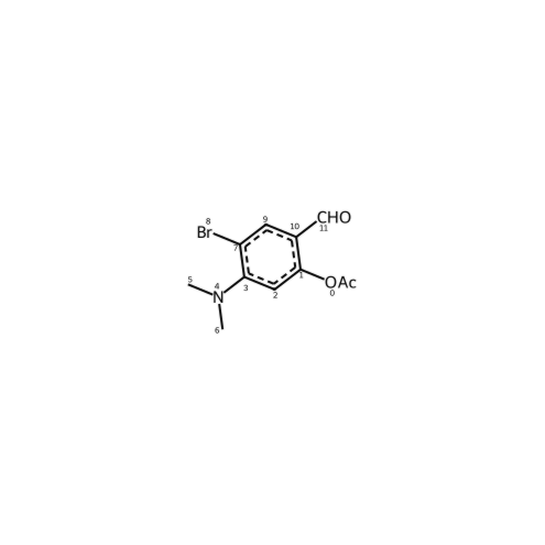 CC(=O)Oc1cc(N(C)C)c(Br)cc1C=O